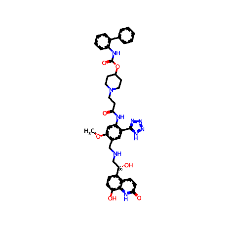 COc1cc(NC(=O)CCN2CCC(OC(=O)Nc3ccccc3-c3ccccc3)CC2)c(-c2nnn[nH]2)cc1CNC[C@H](O)c1ccc(O)c2[nH]c(=O)ccc12